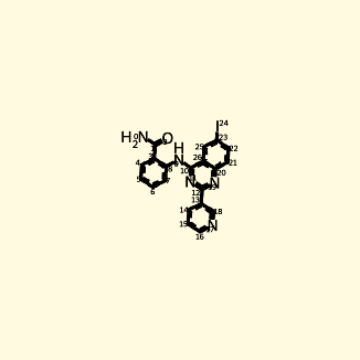 NC(=O)c1ccccc1Nc1nc(-c2cccnc2)nc2ccc(I)cc12